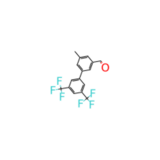 Cc1cc(C=O)cc(-c2cc(C(F)(F)F)cc(C(F)(F)F)c2)c1